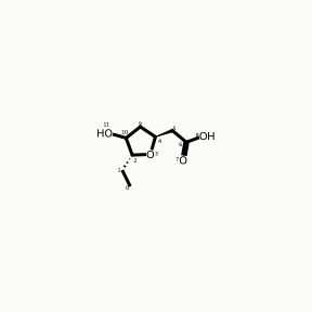 CC[C@H]1O[C@H](CC(=O)O)CC1O